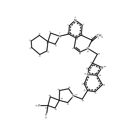 C=C1c2cncc(N3CC4(CCCCC4)C3)c2C=CN1Cc1cn2cc(CN3CCC4(C3)CC(F)(F)C4)ccc2n1